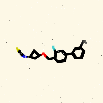 Fc1cc(-c2cccc(C(F)(F)F)c2)ccc1CO[C@H]1C[C@@H](N=C=S)C1